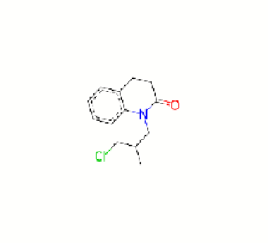 CC(CCl)CN1C(=O)CCc2ccccc21